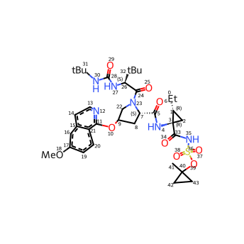 CC[C@@H]1C[C@]1(NC(=O)[C@@H]1CC(Oc2nccc3cc(OC)ccc23)CN1C(=O)[C@@H](NC(=O)NC(C)(C)C)C(C)(C)C)C(=O)NS(=O)(=O)OC1(C)CC1